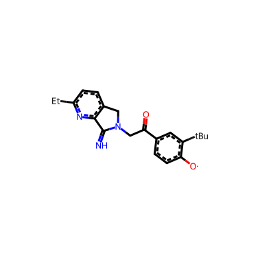 CCc1ccc2c(n1)C(=N)N(CC(=O)c1ccc([O])c(C(C)(C)C)c1)C2